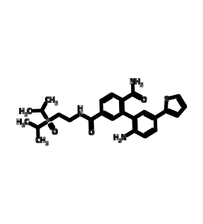 CC(C)P(=O)(CCNC(=O)c1ccc(C(N)=O)c(-c2cc(-c3cccs3)ccc2N)c1)C(C)C